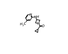 Cc1ccnc(NC2CN(C(=O)C3CC3)C2)c1